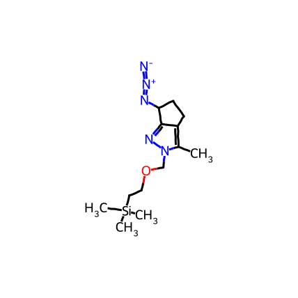 Cc1c2c(nn1COCC[Si](C)(C)C)C(N=[N+]=[N-])CC2